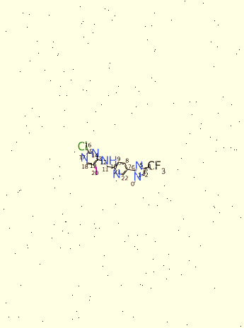 Cn1cc(C(F)(F)F)nc1-c1ccc(CNc2nc(Cl)ncc2I)nc1